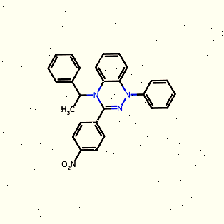 CC(c1ccccc1)N1C(c2ccc([N+](=O)[O-])cc2)=NN(c2ccccc2)c2ccccc21